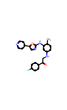 Cc1ccc(NCC(=O)c2ccc(F)cc2)cc1Nc1ncc(-c2ccncc2)o1